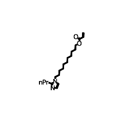 [CH2]CCc1nccn1CCCCCCCCCCCOC(=O)C=C